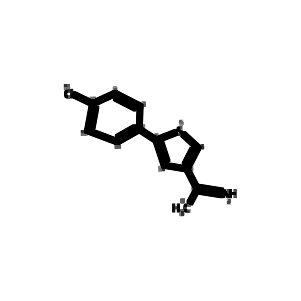 CC(=N)c1csc(-c2ccc(Cl)cc2)c1